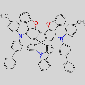 Cc1ccc(N(c2ccc(-c3ccccc3)cc2)c2cc3c(c4oc5ccccc5c24)-c2c(cc(N(c4ccc(C)cc4)c4ccc(-c5ccccc5)cc4)c4c2oc2ccccc24)C32c3ccccc3-n3c4ccccc4c4cccc2c43)cc1